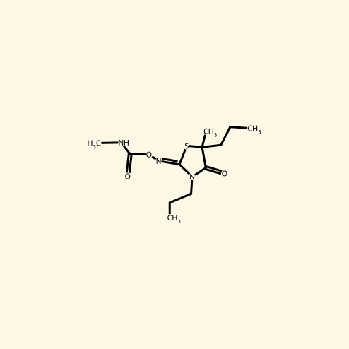 CCCN1C(=O)C(C)(CCC)SC1=NOC(=O)NC